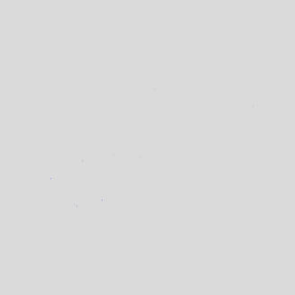 CCCOc1c(OCc2ccc(OC)cc2)ccc2c1CC(C)(C)c1c(N)ncnc1-2